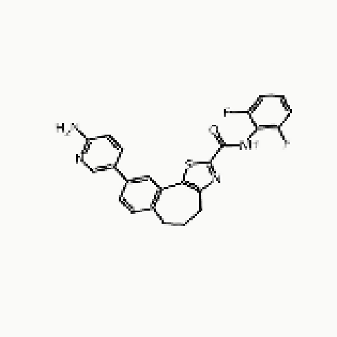 Nc1ccc(-c2ccc3c(c2)-c2sc(C(=O)Nc4c(F)cccc4F)nc2CCC3)cn1